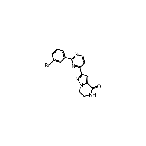 O=C1NCCn2nc(-c3ccnc(-c4cccc(Br)c4)n3)cc21